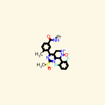 Cc1ccc(C(=O)NC(C)C)cc1-c1nc([S+](C)[O-])nc2c1CC[NH+]([O-])C2c1c(F)cccc1F